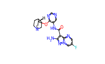 Nc1nn2cc(F)cnc2c1C(=O)Nc1cncnc1O[C@@H]1CN2CCC1CC2